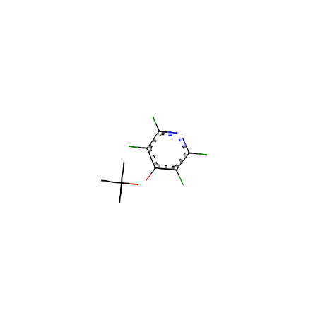 CC(C)(C)Oc1c(F)c(F)nc(F)c1F